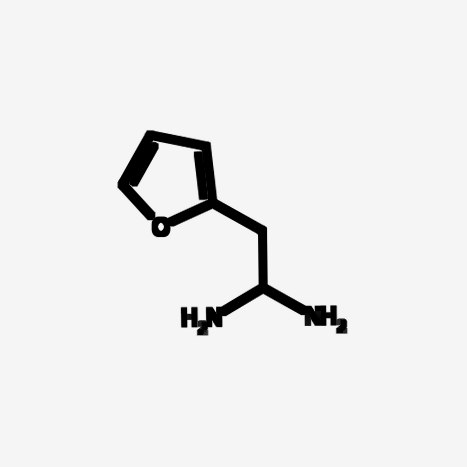 NC(N)Cc1ccco1